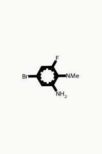 CNc1c(N)cc(Br)cc1F